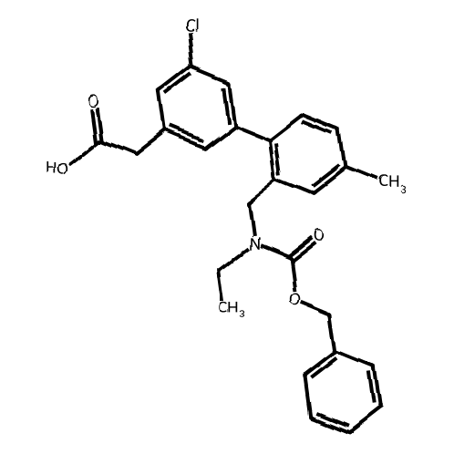 CCN(Cc1cc(C)ccc1-c1cc(Cl)cc(CC(=O)O)c1)C(=O)OCc1ccccc1